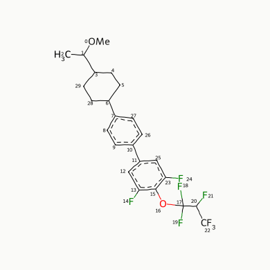 COC(C)C1CCC(c2ccc(-c3cc(F)c(OC(F)(F)C(F)C(F)(F)F)c(F)c3)cc2)CC1